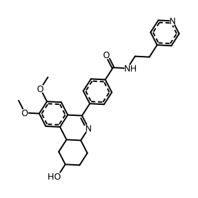 COc1cc2c(cc1OC)C1CC(O)CCC1N=C2c1ccc(C(=O)NCCc2ccncc2)cc1